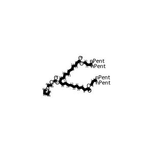 CCCCCC(CCCCC)CCOC(=O)CCCCCCCCCC(CCCCCCCCCC(=O)OCCC(CCCCC)CCCCC)OC(=O)OCCN1CCCC1